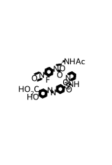 CC(=O)NC[C@H]1CN(c2ccc(N3CCOCC3)c(F)c2)C(=O)O1.O=C(O)c1cc(/N=N/c2ccc(S(=O)(=O)Nc3ccccn3)cc2)ccc1O